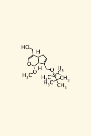 CO[C@@H]1OC=C(CO)[C@H]2CC=C(CO[Si](C)(C)C(C)(C)C)[C@@H]12